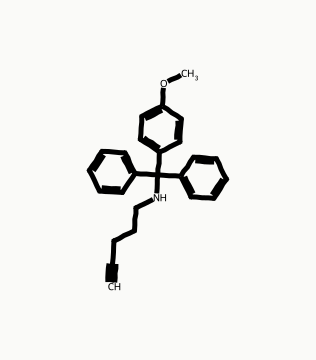 C#CCCCNC(c1ccccc1)(c1ccccc1)c1ccc(OC)cc1